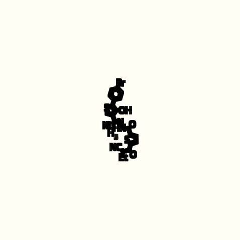 CCC(C#N)C(=O)c1ccc(C(=O)NN=C(C)c2csc(-c3ccc(Br)cc3)c2O)s1.[KH]